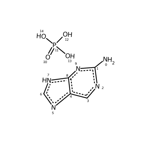 Nc1ncc2nc[nH]c2n1.O=P(O)(O)O